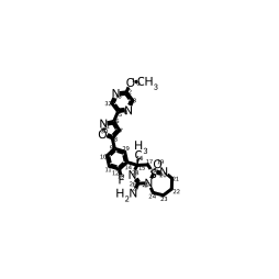 COc1cnc(-c2cc(-c3ccc(F)c([C@]4(C)CS5(=O)=NCCCCN5C(N)=N4)c3)on2)cn1